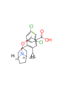 O=C(O)c1cc(C2CC2)c(CN2[C@@H]3CC[C@H]2CC(Oc2cc(Cl)cc(Cl)c2)C3)cc1F